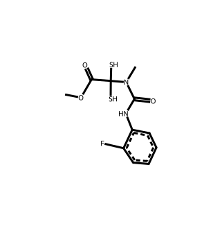 COC(=O)C(S)(S)N(C)C(=O)Nc1ccccc1F